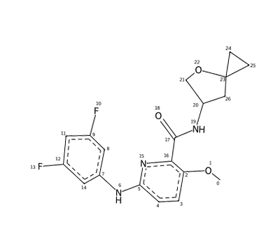 COc1ccc(Nc2cc(F)cc(F)c2)nc1C(=O)NC1COC2(CC2)C1